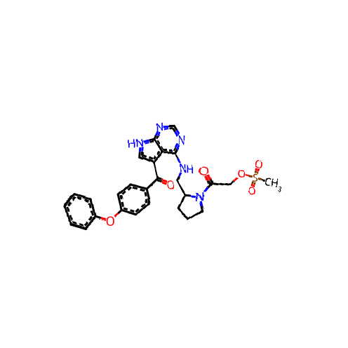 CS(=O)(=O)OCC(=O)N1CCCC1CNc1ncnc2[nH]cc(C(=O)c3ccc(Oc4ccccc4)cc3)c12